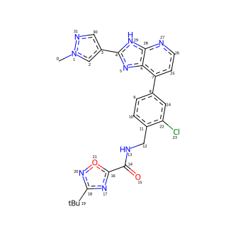 Cn1cc(-c2nc3c(-c4ccc(CNC(=O)c5nc(C(C)(C)C)no5)c(Cl)c4)ccnc3[nH]2)cn1